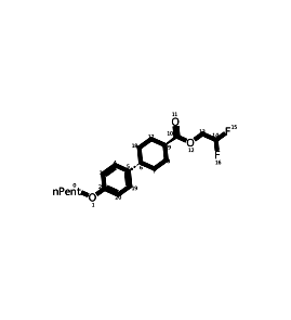 CCCCCOc1ccc([C@H]2CC[C@H](C(=O)OCC(F)F)CC2)cc1